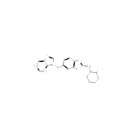 OC1CCCCC1Nc1nc2ccc(Cn3cnc4cncnc43)cc2s1